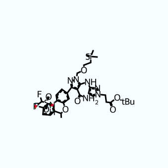 CC(Oc1cc(-c2nn(COCC[Si](C)(C)C)c(Nc3ccn(CCC(=O)OC(C)(C)C)n3)c2C(N)=O)ccc1NS(=O)(=O)C(F)F)c1ccc(F)cc1